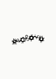 O=C(Oc1ccc(CCOc2ccccn2)cc1)N1CCC(COn2cccn2)CC1